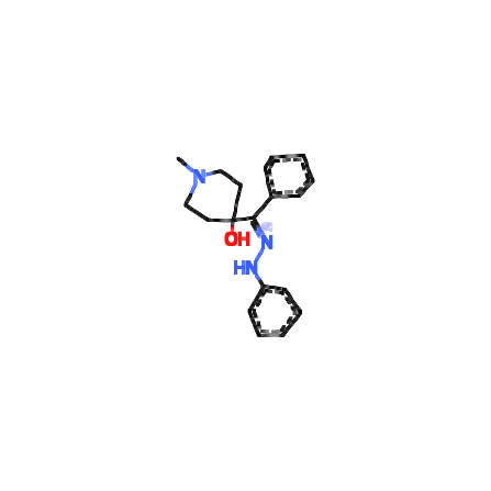 CN1CCC(O)(/C(=N\Nc2ccccc2)c2ccccc2)CC1